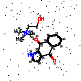 C[N+](C)(C)CCO.O=C1c2ccccc2C(=O)c2[nH]ccc21